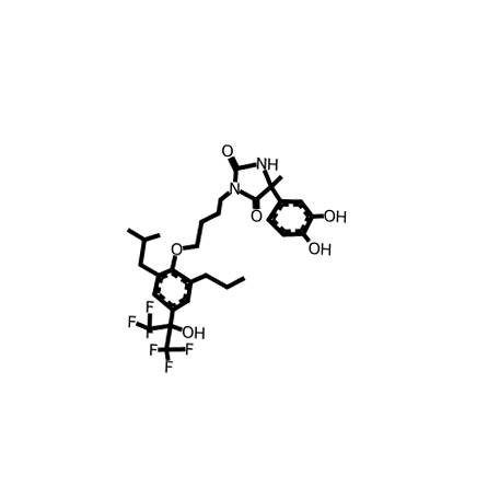 CCCc1cc(C(O)(C(F)(F)F)C(F)(F)F)cc(CC(C)C)c1OCCCCN1C(=O)NC(C)(c2ccc(O)c(O)c2)C1=O